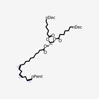 CCCCC/C=C\C/C=C\C/C=C\CCCCCCCCC(=O)OC[C@@H](COC(=O)CCCCCCCCCCCCCCC)OC(=O)CCCCCCCCCCCCCCC